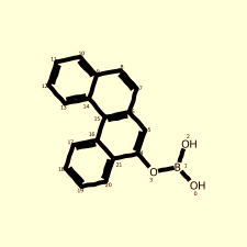 OB(O)Oc1cc2ccc3ccccc3c2c2ccccc12